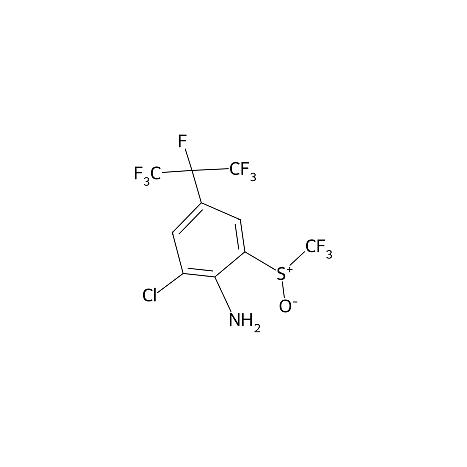 Nc1c(Cl)cc(C(F)(C(F)(F)F)C(F)(F)F)cc1[S+]([O-])C(F)(F)F